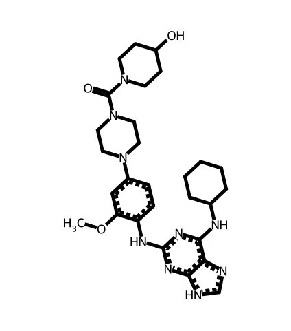 COc1cc(N2CCN(C(=O)N3CCC(O)CC3)CC2)ccc1Nc1nc(NC2CCCCC2)c2nc[nH]c2n1